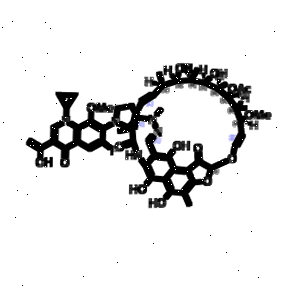 C=C(O)c1cn(C2CC2)c2c(OC)c(N3CCC(N(C)/N=C/c4c5c(O)c6c(O)c(C)c7c(c6c4O)C(=O)[C@@](C)(O/C=C/[C@H](OC)[C@@H](C)[C@@H](OC(C)=O)[C@H](C)[C@H](O)[C@H](C)[C@@H](O)[C@@H](C)/C=C/C=C(/C)C(=O)N5)O7)C3)c(F)cc2c1=O